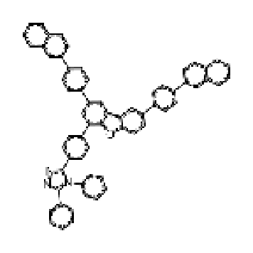 c1ccc(-c2nnc(-c3ccc(-c4cc(-c5ccc(-c6ccc7ccccc7c6)cc5)cc5c4oc4ccc(-c6ccc(-c7ccc8ccccc8c7)cc6)cc45)cc3)n2-c2ccccc2)cc1